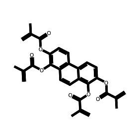 C=C(C)C(=O)Oc1ccc2c(ccc3c(OC(=O)C(=C)C)c(OC(=O)C(=C)C)ccc32)c1OC(=O)C(=C)C